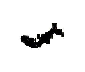 Cc1ncsc1-c1ccc([C@H](C)NC(=O)[C@@H]2C[C@@H](O)CN2C(=O)C(NC(=O)CCCCCC(=O)N2CCN(CCC(CSc3ccccc3)Nc3ccc(S(=O)(=O)NC(=O)c4ccc(N5CCN(CC6=C(C78CC(C(F)F)(C7)C8)CC(C)(C)CC6)CC5)cc4)cc3S(=O)(=O)C(F)(F)F)CC2)C(C)(C)C)cc1